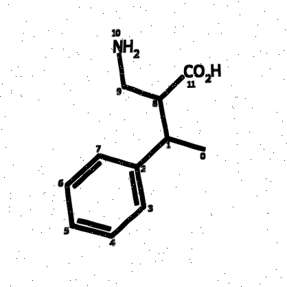 CC(c1ccccc1)C(CN)C(=O)O